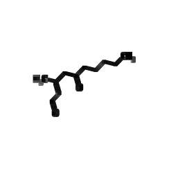 CCCCCC(=O)CC(C)=CC=O